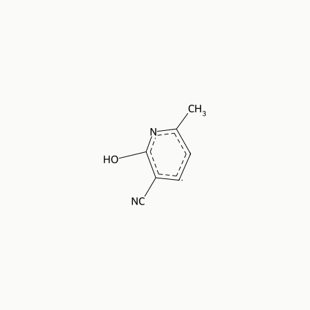 Cc1c[c]c(C#N)c(O)n1